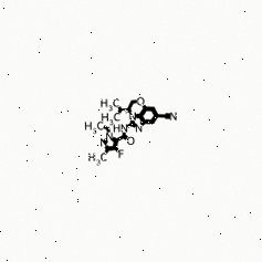 CCn1nc(C)c(F)c1C(=O)Nc1nc2cc(C#N)cc3c2n1[C@@H](C(C)C)CO3